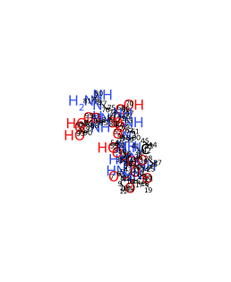 CC(C)C[C@H](NC(=O)[C@H](CC(C)C)NC(=O)[C@H](CC(C)C)NC(=O)[C@H](CC(C)C)NC(=O)[C@H](CC(C)C)NC(=O)[C@@H](N)CC(C)C)C(=O)NCC(=O)N[C@@H](CO)C(=O)N1CCC[C@H]1C(=O)N[C@@H](CC(=O)O)C(=O)N[C@@H](CCCNC(=N)N)C(=O)NCC(=O)N[C@@H](CC(=O)O)C(=O)O